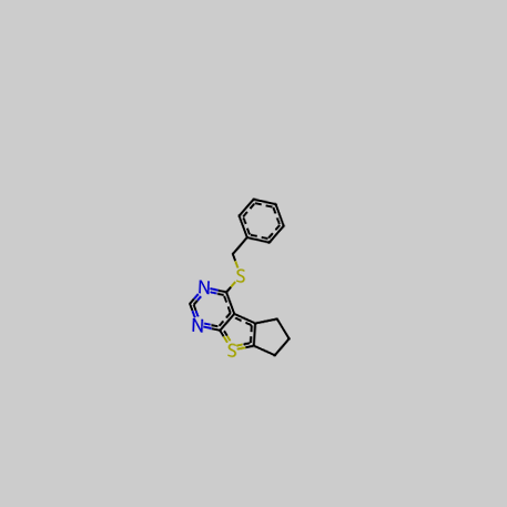 c1ccc(CSc2ncnc3sc4c(c23)CCC4)cc1